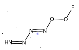 N=N/N=N/OOF